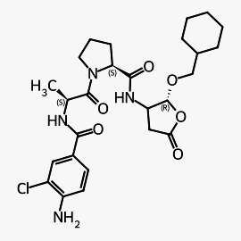 C[C@H](NC(=O)c1ccc(N)c(Cl)c1)C(=O)N1CCC[C@H]1C(=O)NC1CC(=O)O[C@H]1OCC1CCCCC1